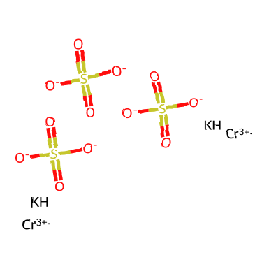 O=S(=O)([O-])[O-].O=S(=O)([O-])[O-].O=S(=O)([O-])[O-].[Cr+3].[Cr+3].[KH].[KH]